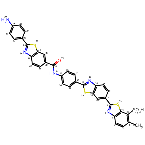 Cc1ccc2nc(-c3ccc4nc(-c5ccc(NC(=O)c6ccc7nc(-c8ccc(N)cc8)sc7c6)cc5)sc4c3)sc2c1S(=O)(=O)O